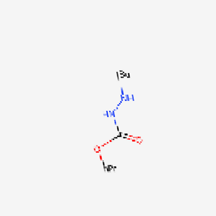 CCCOC(=O)NNC(C)(C)C